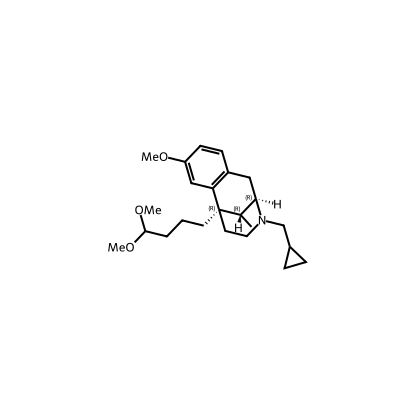 COc1ccc2c(c1)[C@]1(CCCC(OC)OC)CCN(CC3CC3)[C@H](C2)[C@@H]1C